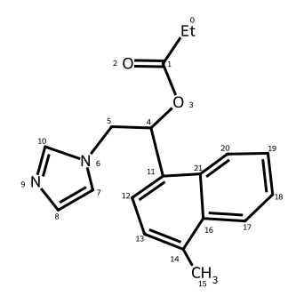 CCC(=O)OC(Cn1ccnc1)c1ccc(C)c2ccccc12